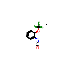 O=C=NC1=CC=C=CC1OC(F)(F)F